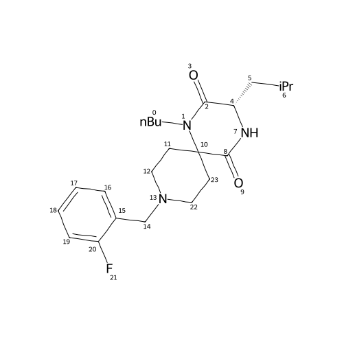 CCCCN1C(=O)[C@H](CC(C)C)NC(=O)C12CCN(Cc1ccccc1F)CC2